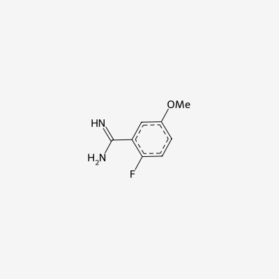 COc1ccc(F)c(C(=N)N)c1